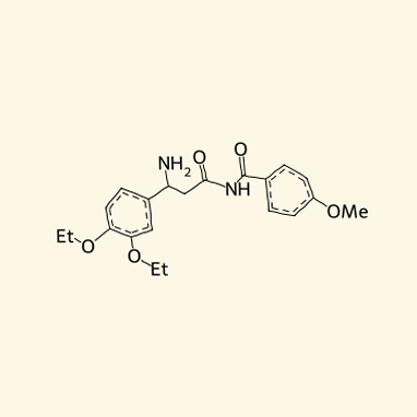 CCOc1ccc(C(N)CC(=O)NC(=O)c2ccc(OC)cc2)cc1OCC